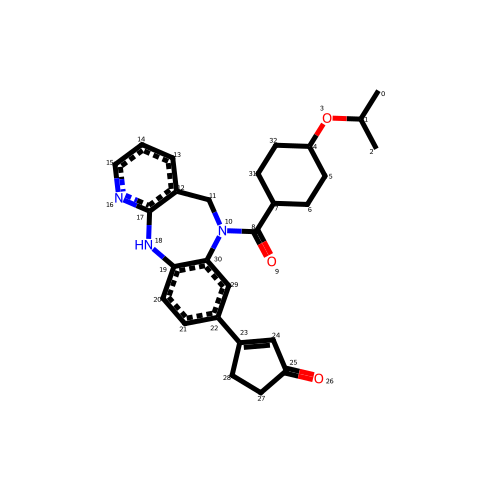 CC(C)OC1CCC(C(=O)N2Cc3cccnc3Nc3ccc(C4=CC(=O)CC4)cc32)CC1